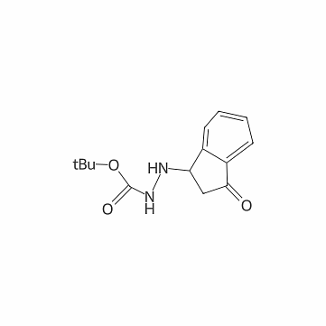 CC(C)(C)OC(=O)NNC1CC(=O)c2ccccc21